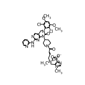 COc1cc(OC)c(Cl)c(N2Cc3cnc(Nc4ccccn4)nc3N(C3CCN(C(=O)/C=C/C[N+](C)(C)Cc4c([N+](=O)[O-])ncn4C)CC3)C2=O)c1Cl